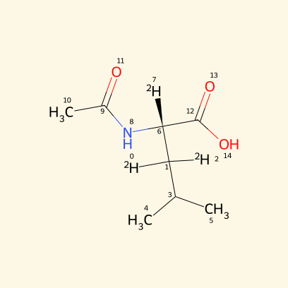 [2H]C([2H])(C(C)C)[C@]([2H])(NC(C)=O)C(=O)O